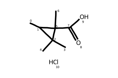 CC1C(C)(C)C1(C)C(=O)O.Cl